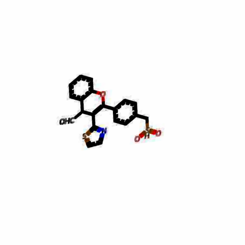 O=CC1C(c2nccs2)=C(c2ccc(C[SH](=O)=O)cc2)Oc2ccccc21